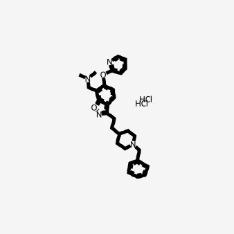 CN(C)Cc1c(Oc2ccccn2)ccc2c(CCC3CCN(Cc4ccccc4)CC3)noc12.Cl.Cl